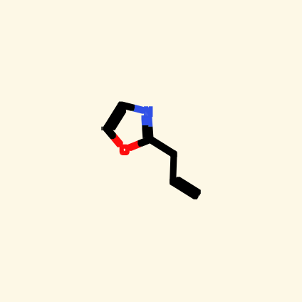 C=CCc1nc[c]o1